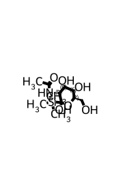 CC(=O)N[C@@H]1[C@@H](O)[C@H](O)[C@@H](CO)OC1(O)[Si](C)(C)C